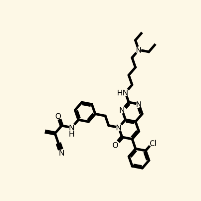 C=C(C#N)C(=O)Nc1cccc(CCn2c(=O)c(-c3ccccc3Cl)cc3cnc(NCCCCN(CC)CC)nc32)c1